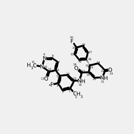 Cc1cc(F)c(-c2ccnn(C)c2=O)cc1NC(=O)C1=CNC(=O)C[C@H]1c1ccc(F)cc1